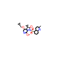 COc1cc(C2(C(=O)NS(=O)(=O)c3cccc4nc(C)ccc34)CC2)c(OCC2CC2)cn1